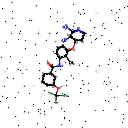 Cc1c(NC(=O)c2cccc(OC(F)(F)F)c2)cccc1Oc1ccnc(N)c1N